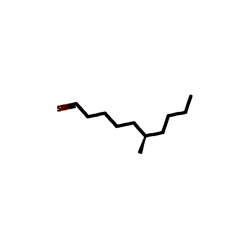 CCCC[C@@H](C)CCCCC=S